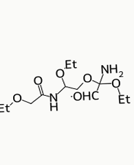 CCOCC(=O)NC(COC(N)([C]=O)OCC)OCC